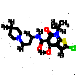 [2H]Oc1c(C(=O)N([2H])C([2H])CC([2H])N2CCC([2H])([2H])CC2)c(=O)n(C([2H])(C)C)c2sc(Cl)c([2H])c12